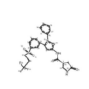 O=C1C[C@H](C(=O)Nc2cc(-c3cccc(S(=O)(=O)CCC(F)(F)F)c3)n(-c3ccccc3)n2)CN1